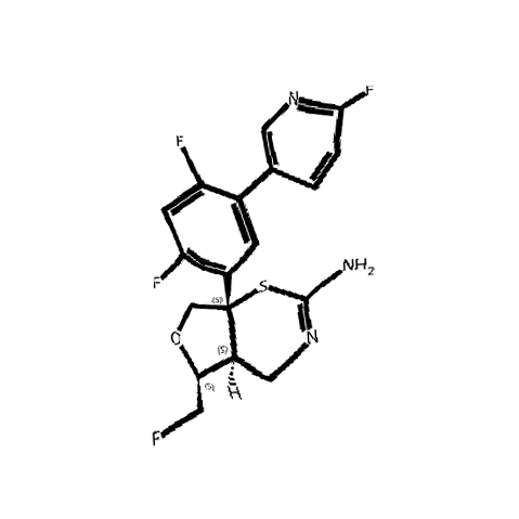 NC1=NC[C@H]2[C@@H](CF)OC[C@]2(c2cc(-c3ccc(F)nc3)c(F)cc2F)S1